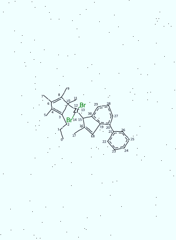 CCCC1=C(C)C(C)=C(C)[C]1(C)[Zr]([Br])([Br])[CH]1C(C)=Cc2c(-c3ccccc3)cccc21